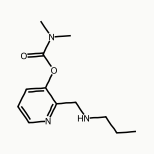 CCCNCc1ncccc1OC(=O)N(C)C